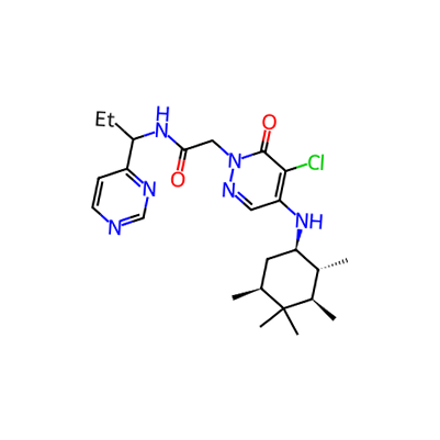 CCC(NC(=O)Cn1ncc(N[C@@H]2C[C@H](C)C(C)(C)[C@H](C)[C@H]2C)c(Cl)c1=O)c1ccncn1